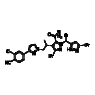 CC(C)c1cc(C(=O)n2nc(C(C)C)c(C(C)Cn3ccc(-c4ccc(C#N)c(Cl)c4)n3)c2C(N)=O)[nH]n1